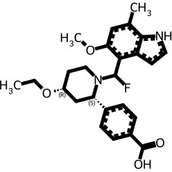 CCO[C@@H]1CCN(C(F)c2c(OC)cc(C)c3[nH]ccc23)[C@H](c2ccc(C(=O)O)cc2)C1